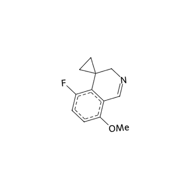 COc1ccc(F)c2c1C=NCC21CC1